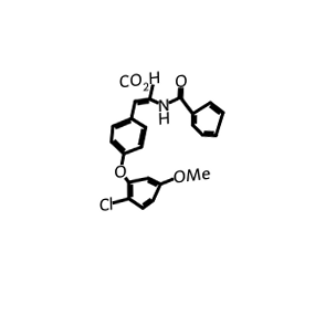 COc1ccc(Cl)c(Oc2ccc(C=C(NC(=O)c3ccccc3)C(=O)O)cc2)c1